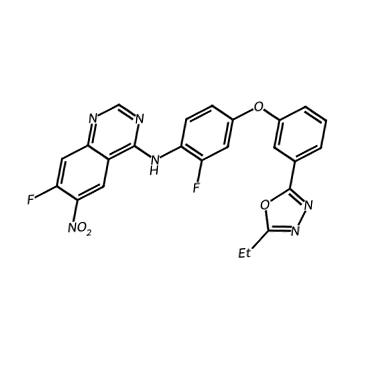 CCc1nnc(-c2cccc(Oc3ccc(Nc4ncnc5cc(F)c([N+](=O)[O-])cc45)c(F)c3)c2)o1